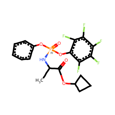 CC(N[P@](=O)(Oc1ccccc1)Oc1c(F)c(F)c(F)c(F)c1F)C(=O)OC1CCC1